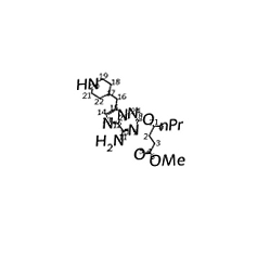 CCCC(CCC(=O)OC)Oc1nc(N)c2ncc(CC3CCNCC3)n2n1